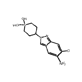 Nc1cc2cn(C3CCS(O)(O)CC3)nc2cc1Cl